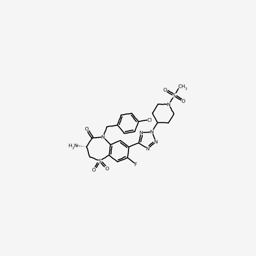 CS(=O)(=O)N1CCC(n2nnc(-c3cc4c(cc3F)S(=O)(=O)C[C@H](N)C(=O)N4Cc3ccc(Cl)cc3)n2)CC1